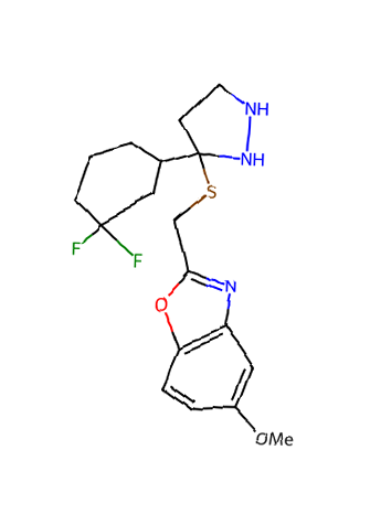 COc1ccc2oc(CSC3(C4CCCC(F)(F)C4)CCNN3)nc2c1